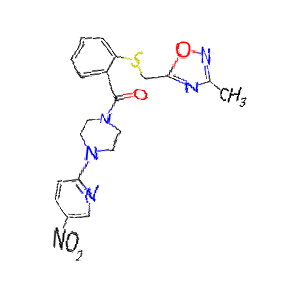 Cc1noc(CSc2ccccc2C(=O)N2CCN(c3ccc([N+](=O)[O-])cn3)CC2)n1